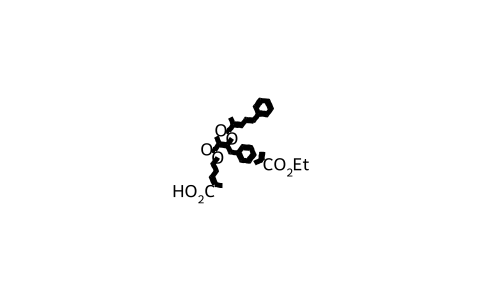 C=C(C)C(=O)OCC.CC(=CCCOC(=O)C(C)=C(Cc1ccccc1)OC(=O)C(C)=CC=Cc1ccccc1)C(=O)O